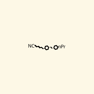 CCC[C@H]1CC[C@H](CC[C@H]2CC[C@H](CCC=CC=CC#N)CC2)CC1